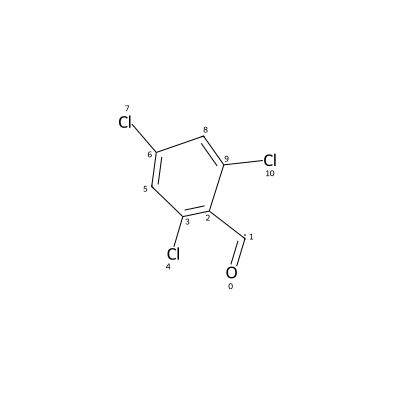 O=[C]c1c(Cl)cc(Cl)cc1Cl